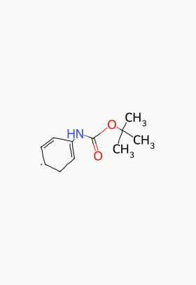 CC(C)(C)OC(=O)NC1=CC[CH]C=C1